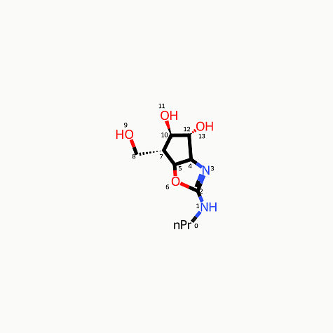 CCCNC1=NC2C(O1)[C@H](CO)[C@@H](O)[C@@H]2O